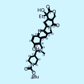 CCC1(O)C(=O)OCc2c1cc1n(c2=O)Cc2cc3c(CN(C)CC4CCN(C(=O)OC(C)(C)C)CC4)c(O)ccc3nc2-1